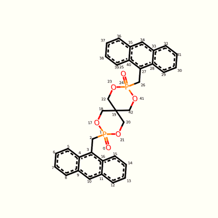 O=P1(Cc2c3ccccc3cc3ccccc23)OCC2(CO1)COP(=O)(Cc1c3ccccc3cc3ccccc13)OC2